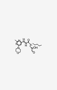 CCCCC[C@H](CN(O)C=O)C(=O)NNc1cc(N2CCOCC2)nc(C)n1